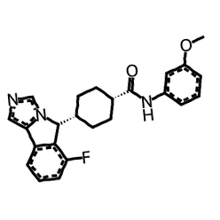 COc1cccc(NC(=O)[C@H]2CC[C@@H](C3c4c(F)cccc4-c4cncn43)CC2)c1